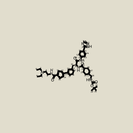 CCN(CC)CCNC(=O)c1ccc(-c2cccc(C[C@H](NC(=O)C3CCC(CNC(=O)OC(C)(C)C)CC3)C(=O)Nc3ccc(-c4nnn[nH]4)cc3)c2)cc1